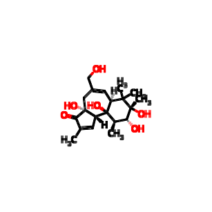 CC1=C[C@H]2[C@@]3(O)[C@H](C)[C@@H](O)[C@@](C)(O)C(C)(C)[C@@H]3C=C(CO)C[C@]2(O)C1=O